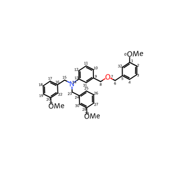 COc1cccc(COCc2cccc(N(Cc3cccc(OC)c3)Cc3cccc(OC)c3)c2)c1